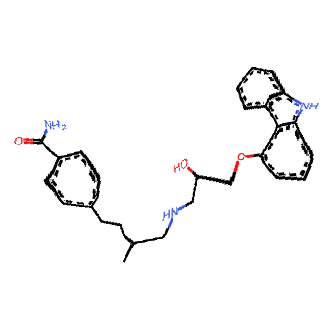 CC(CCc1ccc(C(N)=O)cc1)CNCC(O)COc1cccc2[nH]c3ccccc3c12